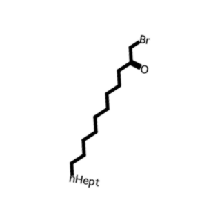 CCCCCCCCCCCCCCCCC(=O)CBr